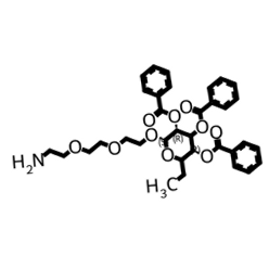 CCC1O[C@H](OCCOCCOCCN)[C@H](OC(=O)c2ccccc2)C(OC(=O)c2ccccc2)[C@@H]1OC(=O)c1ccccc1